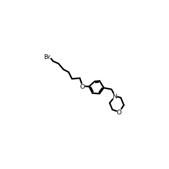 BrCCCCCCOc1ccc(CN2CCOCC2)cc1